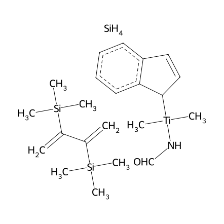 C=C(C(=C)[Si](C)(C)C)[Si](C)(C)C.[CH3][Ti]([CH3])([NH]C=O)[CH]1C=Cc2ccccc21.[SiH4]